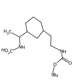 CC(NC(=O)O)C1CCCC(CCNC(=O)OC(C)(C)C)C1